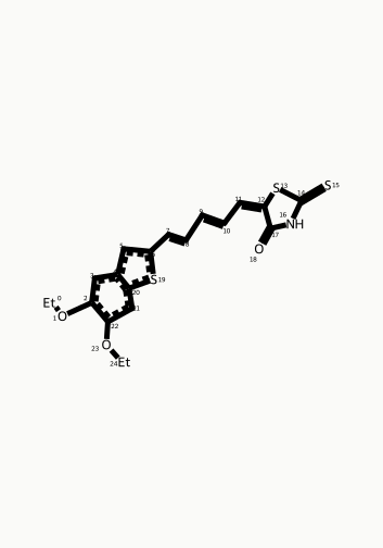 CCOc1cc2cc(C=CC=CC=C3SC(=S)NC3=O)sc2cc1OCC